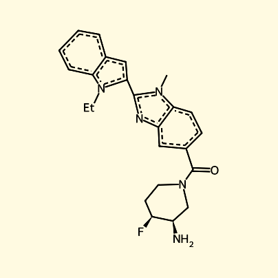 CCn1c(-c2nc3cc(C(=O)N4CC[C@H](F)[C@H](N)C4)ccc3n2C)cc2ccccc21